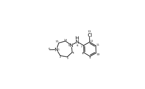 CN1CCCN(Nc2ccccc2Cl)CC1